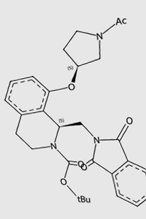 CC(=O)N1CC[C@H](Oc2cccc3c2[C@@H](CN2C(=O)c4ccccc4C2=O)N(C(=O)OC(C)(C)C)CC3)C1